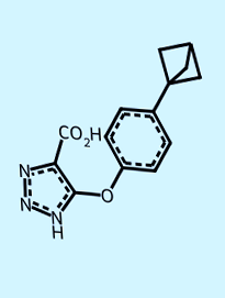 O=C(O)c1nn[nH]c1Oc1ccc(C23CC(C2)C3)cc1